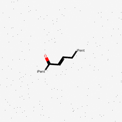 CCCC(C)CC=CC(=O)C(C)CCC